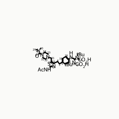 CC(=O)Nc1nc(CCc2ccc(NC(N(C(=O)O)C(C)(C)C)N(C(=O)O)C(C)(C)C)cc2)c(CN2CCN(C(=O)N(C)C)CC2)s1